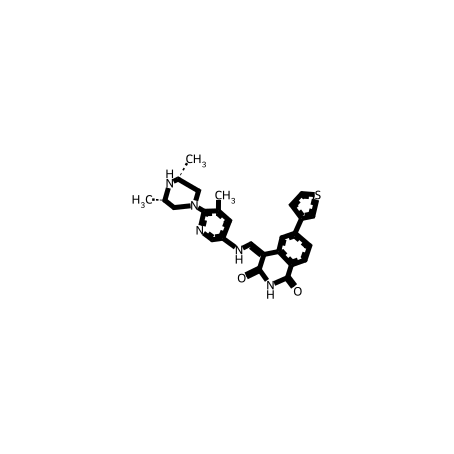 Cc1cc(NC=C2C(=O)NC(=O)c3ccc(-c4ccsc4)cc32)cnc1N1C[C@@H](C)N[C@@H](C)C1